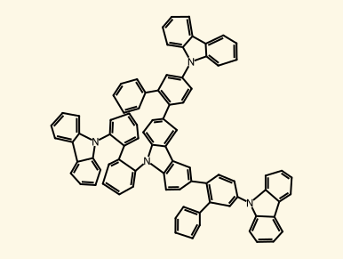 c1ccc(-c2cc(-n3c4ccccc4c4ccccc43)ccc2-c2ccc3c(c2)c2cc(-c4ccc(-n5c6ccccc6c6ccccc65)cc4-c4ccccc4)ccc2n3-c2ccccc2-c2ccccc2-n2c3ccccc3c3ccccc32)cc1